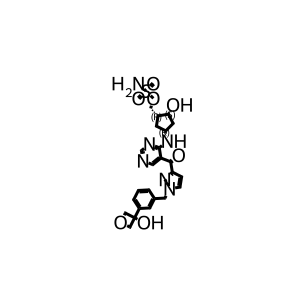 NS(=O)(=O)OC[C@H]1C[C@@H](Nc2ncncc2C(=O)c2ccn(Cc3cccc(C4(O)COC4)c3)n2)C[C@@H]1O